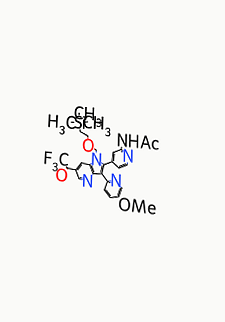 COc1ccc(-c2c(-c3ccnc(NC(C)=O)c3)n(COCC[Si](C)(C)C)c3cc(C(=O)C(F)(F)F)cnc23)nc1